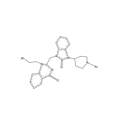 CC(=O)N1CCC(n2c(=O)n(Cc3nc(=O)c4ccccc4n3CCC(C)C)c3ccccc32)CC1